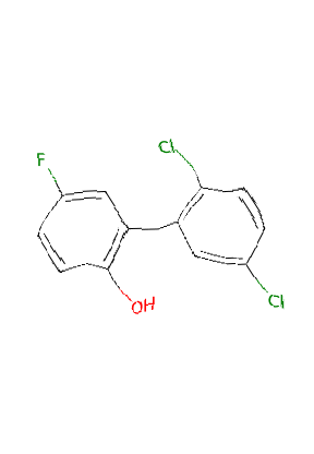 Oc1ccc(F)cc1-c1cc(Cl)ccc1Cl